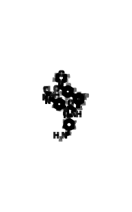 Cl.NC[C@H]1CC[C@H](C(=O)N[C@@H](Cc2cccc(-c3ccc(C(=O)N4CCOCC4)cc3)c2)C(=O)Nc2ccc(-c3nnc(Cl)[nH]3)cc2)CC1